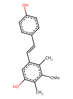 COc1c(C)c(O)cc(C=Cc2ccc(O)cc2)c1C